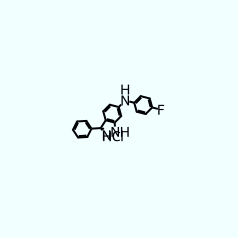 Cl.Fc1ccc(Nc2ccc3c(-c4ccccc4)n[nH]c3c2)cc1